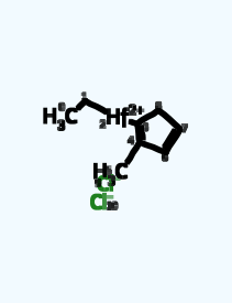 C[CH2][Hf+2][C]1=C(C)C=CC1.[Cl-].[Cl-]